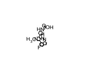 CN1C=C2C(=C(C3=CCC(NCC(=O)O)CC3)C1)NN=C1C=Cc3cc(F)cc2c31